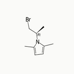 Cc1ccc(C)n1[C@H](C)CBr